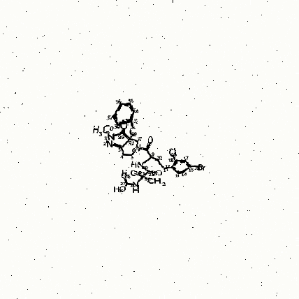 CN1N=C2CCN(C(=O)C(CCc3ccc(Br)cc3Cl)NC(=O)C(C)(C)NC(=O)O)C[C@@]2(Cc2ccccc2)C1=O